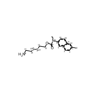 Cc1ccc2cc(N(C)C(=O)OCCSSCCN)ccc2c1